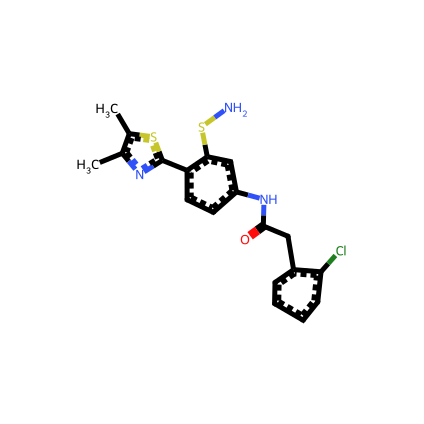 Cc1nc(-c2ccc(NC(=O)Cc3ccccc3Cl)cc2SN)sc1C